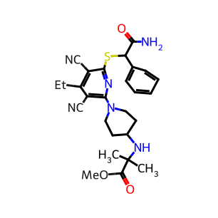 CCc1c(C#N)c(SC(C(N)=O)c2ccccc2)nc(N2CCC(NC(C)(C)C(=O)OC)CC2)c1C#N